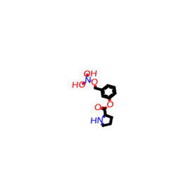 O=C(Oc1cccc(CON(O)O)c1)C1CCCN1